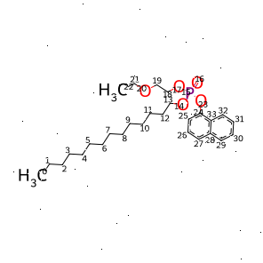 CCCCCCCCCCCCCCOP(=O)(OCCOCC)Oc1cccc2ccccc12